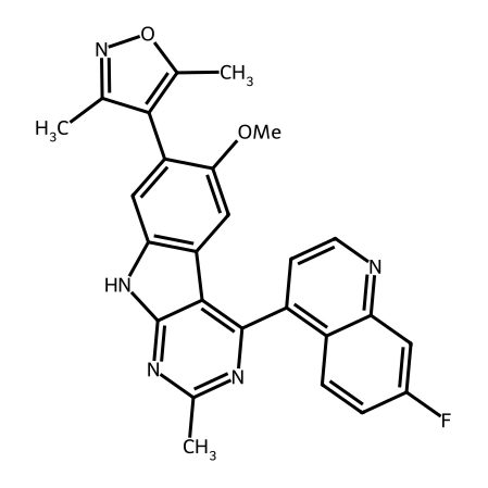 COc1cc2c(cc1-c1c(C)noc1C)[nH]c1nc(C)nc(-c3ccnc4cc(F)ccc34)c12